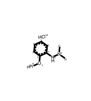 CCCOc1ccccc1NN(C)C.Cl